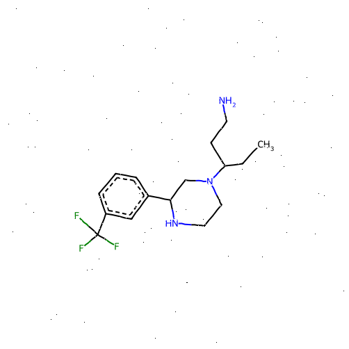 CCC(CCN)N1CCNC(c2cccc(C(F)(F)F)c2)C1